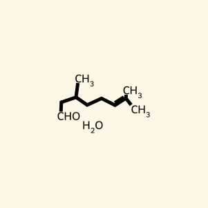 CC(C)=CCCC(C)CC=O.O